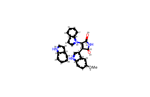 COc1ccc2[nH]cc(C3=C(n4ccc5ccccc54)C(=O)NC3=O)c2c1.c1ccc2[nH]ccc2c1